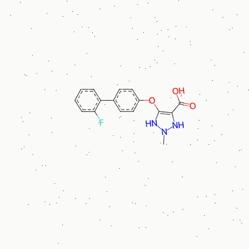 CN1NC(Oc2ccc(-c3ccccc3F)cc2)=C(C(=O)O)N1